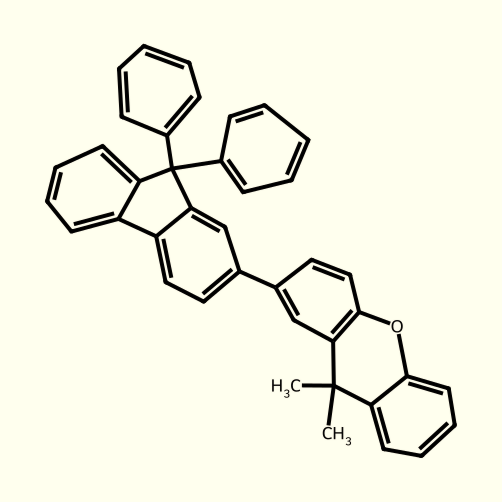 CC1(C)c2ccccc2Oc2ccc(-c3ccc4c(c3)C(c3ccccc3)(c3ccccc3)c3ccccc3-4)cc21